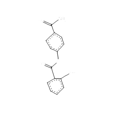 NC(=S)c1ccc(OC(=O)c2ccccc2O)cc1